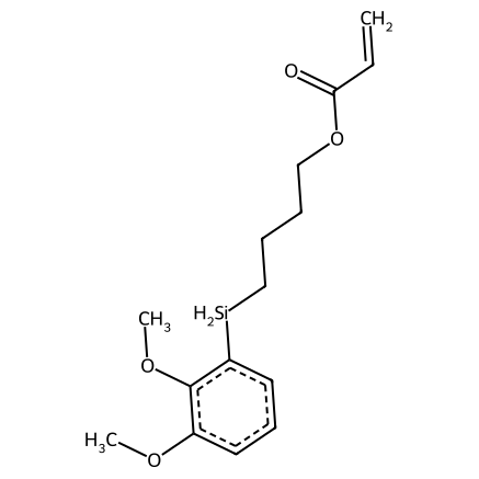 C=CC(=O)OCCCC[SiH2]c1cccc(OC)c1OC